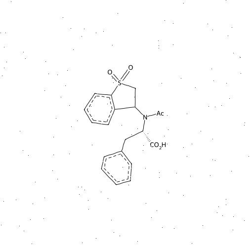 CC(=O)N(C1CS(=O)(=O)c2ccccc21)[C@@H](Cc1ccccc1)C(=O)O